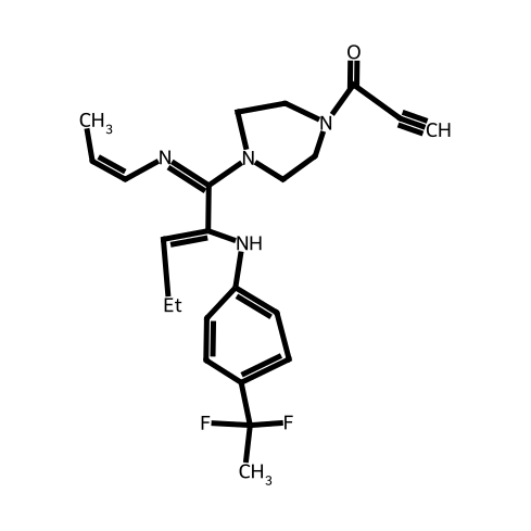 C#CC(=O)N1CCN(C(=N/C=C\C)/C(=C/CC)Nc2ccc(C(C)(F)F)cc2)CC1